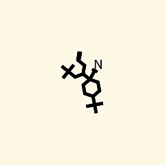 C=CCC(CC(C)(C)C)C1(C#N)CCC(C(C)(C)C)CC1